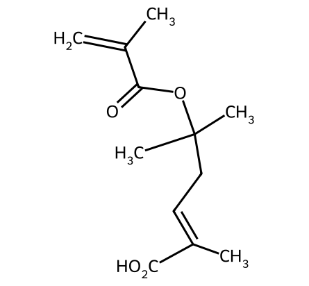 C=C(C)C(=O)OC(C)(C)CC=C(C)C(=O)O